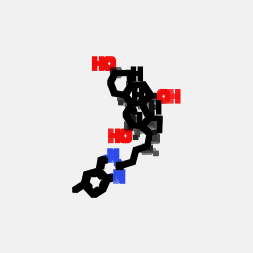 Cc1ccc2nc(CC[C@@H](C)[C@H]3CC[C@H]4[C@@H]5[C@H](O)C[C@@H]6C[C@H](O)CC[C@]6(C)[C@H]5C[C@H](O)[C@]34C)ncc2c1